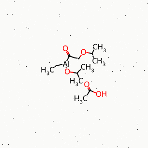 CC(=O)O.C[CH2][Al]([O]C(C)C)[C](=O)COC(C)C